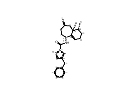 O=C1CCN(NC(=O)n2cc(Cc3ccccc3)cn2)C2=CCC[C@H](F)[C@H]2C1